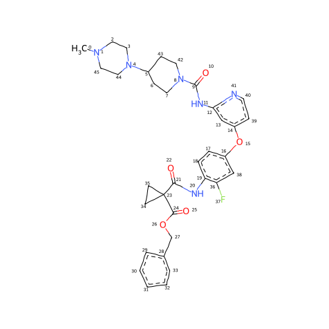 CN1CCN(C2CCN(C(=O)Nc3cc(Oc4ccc(NC(=O)C5(C(=O)OCc6ccccc6)CC5)c(F)c4)ccn3)CC2)CC1